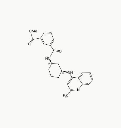 COC(=O)c1cccc(C(=O)N[C@@H]2CCC[C@H](Nc3cc(C(F)(F)F)nc4ccccc34)C2)c1